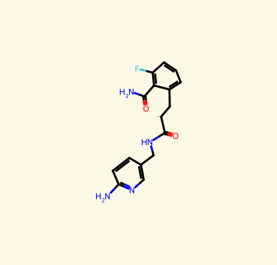 NC(=O)c1c(F)cccc1C[CH]C(=O)NCc1ccc(N)nc1